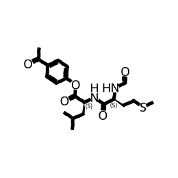 CSCC[C@H](NC=O)C(=O)N[C@@H](CC(C)C)C(=O)Oc1ccc(C(C)=O)cc1